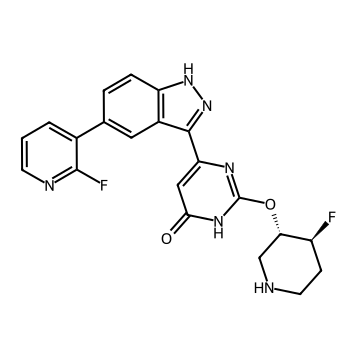 O=c1cc(-c2n[nH]c3ccc(-c4cccnc4F)cc23)nc(O[C@H]2CNCC[C@@H]2F)[nH]1